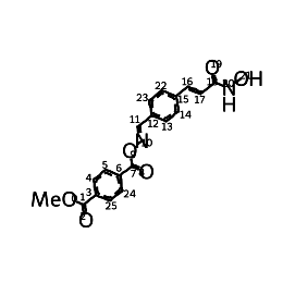 COC(=O)c1ccc(C(=O)ON=Cc2ccc(C=CC(=O)NO)cc2)cc1